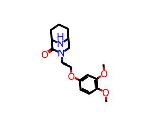 COc1ccc(OCCN2CC3CCCC(N3)C2=O)cc1OC